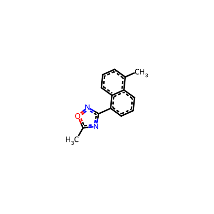 Cc1nc(-c2cccc3c(C)cccc23)no1